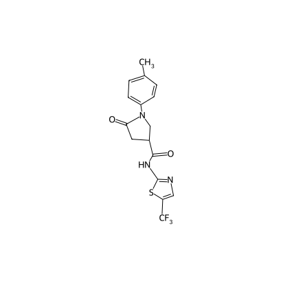 Cc1ccc(N2CC(C(=O)Nc3ncc(C(F)(F)F)s3)CC2=O)cc1